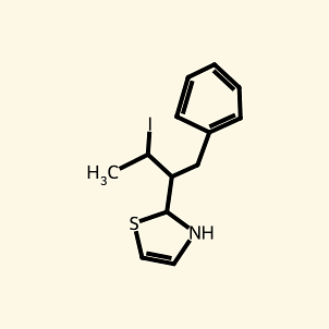 CC(I)C(Cc1ccccc1)C1NC=CS1